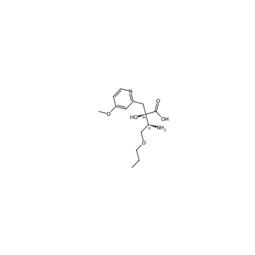 CCCOC[C@H](N)[C@](O)(Cc1cc(OC)ccn1)C(=O)O